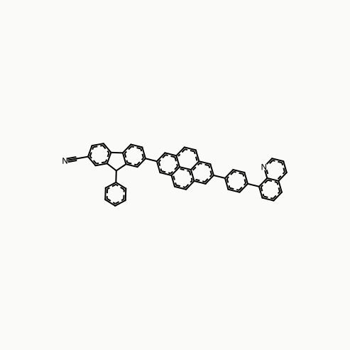 N#Cc1ccc2c(c1)C(c1ccccc1)c1cc(-c3cc4ccc5cc(-c6ccc(-c7cccc8cccnc78)cc6)cc6ccc(c3)c4c56)ccc1-2